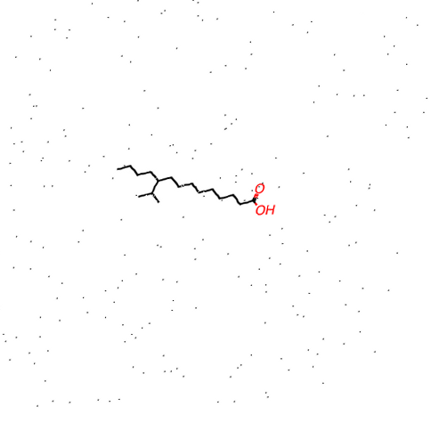 CCCCC(CCCCCCCCC(=O)O)C(C)C